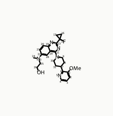 COc1cccnc1C1CCN(c2nc(C3(F)CC3)nc3ccc(N(C)CCO)cc23)CC1